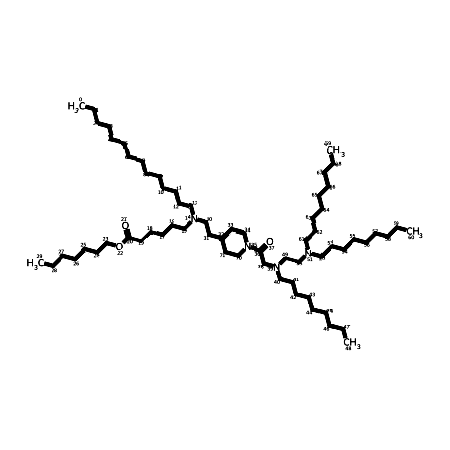 CCCCCCCCCCCCCCN(CCCCCC(=O)OCCCCCCC)CCC1CCN(C(=O)CN(CCCCCCCCC)CCN(CCCCCCCCC)CCCCCCCCC)CC1